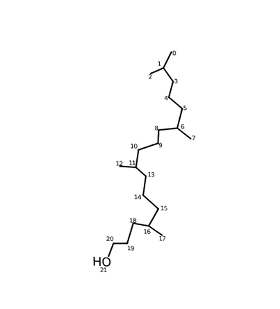 CC(C)CCCC(C)CCCC(C)CCCC(C)CCCO